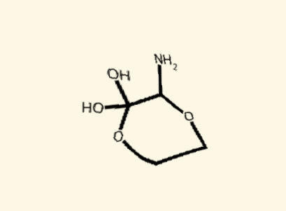 NC1OCCOC1(O)O